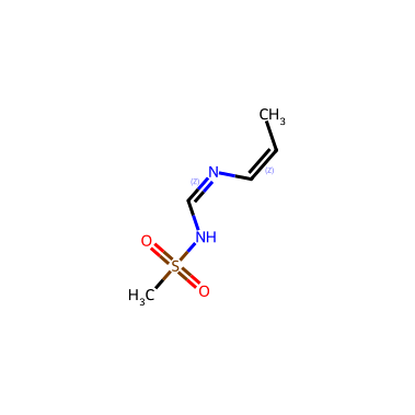 C/C=C\N=C/NS(C)(=O)=O